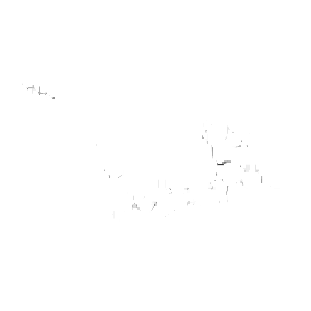 C[C@H](CCC(=O)NCCOCCOCCN=[N+]=[N-])C1CCC2C3CC[C@@H]4C[C@H](NC(=O)[C@H](CC(=O)O)Nc5ccc([N+](=O)[O-])c6nonc56)CC[C@]4(C)C3CC[C@@]21C